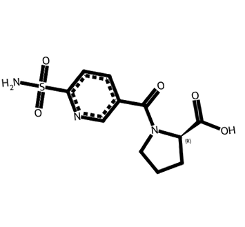 NS(=O)(=O)c1ccc(C(=O)N2CCC[C@@H]2C(=O)O)cn1